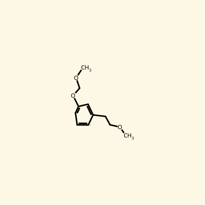 COCCc1[c]ccc(OCOC)c1